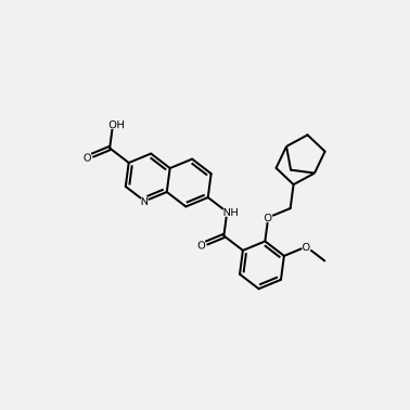 COc1cccc(C(=O)Nc2ccc3cc(C(=O)O)cnc3c2)c1OCC1CC2CCC1C2